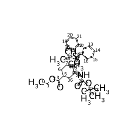 CCOC(=O)C1CC[C@@H](O[Si](c2ccccc2)(c2ccccc2)C(C)(C)C)[C@H](NC(=O)OC(C)(C)C)C1